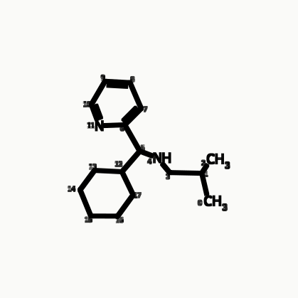 CC(C)CNC(c1ccccn1)C1CCCCC1